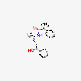 CC(NCC(O)c1ccccc1)NC(=O)C(C)c1ccccc1